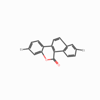 CCc1ccc2c(ccc3c4ccc(CC)cc4oc(=O)c23)c1